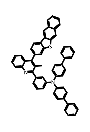 Cc1c(-c2cccc(N(c3ccc(-c4ccccc4)cc3)c3ccc(-c4ccccc4)cc3)c2)nc2ccccc2c1-c1ccc2c(c1)sc1cc3ccccc3cc12